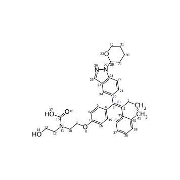 CC/C(=C(/c1ccc(OCCN(CCO)C(=O)O)cc1)c1ccc2c(cnn2C2CCCCO2)c1)c1ccccc1C